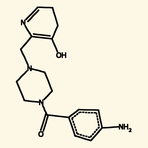 Nc1ccc(C(=O)N2CCN(CC3=C(O)CCC=N3)CC2)cc1